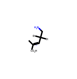 CCC(/C=C(\C)C(=O)O)(CC)CN